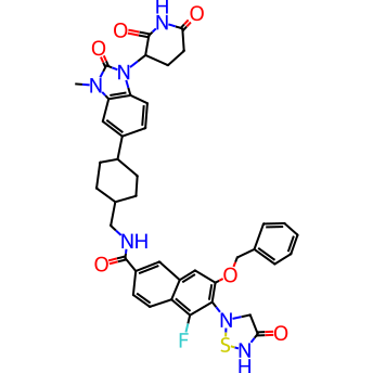 Cn1c(=O)n(C2CCC(=O)NC2=O)c2ccc(C3CCC(CNC(=O)c4ccc5c(F)c(N6CC(=O)NS6)c(OCc6ccccc6)cc5c4)CC3)cc21